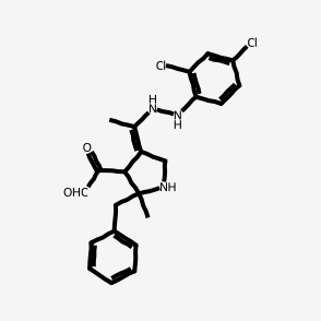 CC(NNc1ccc(Cl)cc1Cl)=C1CNC(C)(Cc2ccccc2)C1C(=O)C=O